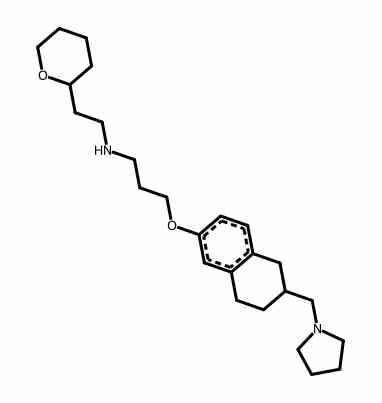 c1cc2c(cc1OCCCNCCC1CCCCO1)CCC(CN1CCCC1)C2